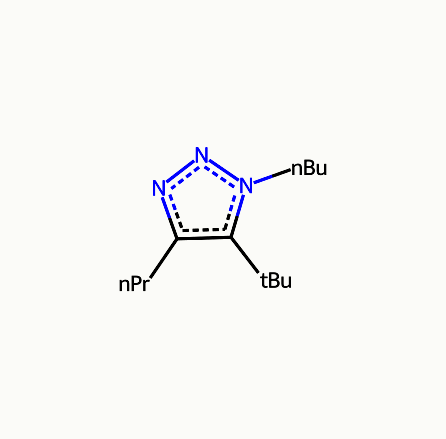 CCCCn1nnc(CCC)c1C(C)(C)C